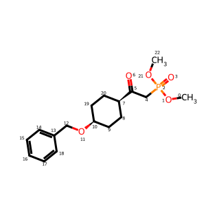 COP(=O)(CC(=O)[C@H]1CC[C@@H](OCc2ccccc2)CC1)OC